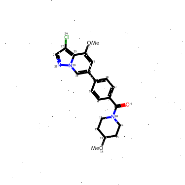 COc1cc(-c2ccc(C(=O)N3CCC(OC)CC3)cc2)cn2ncc(Cl)c12